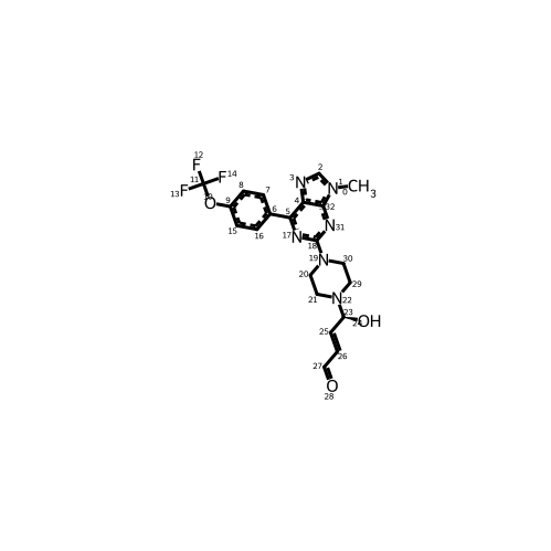 Cn1cnc2c(-c3ccc(OC(F)(F)F)cc3)nc(N3CCN([C@@H](O)/C=C/C=O)CC3)nc21